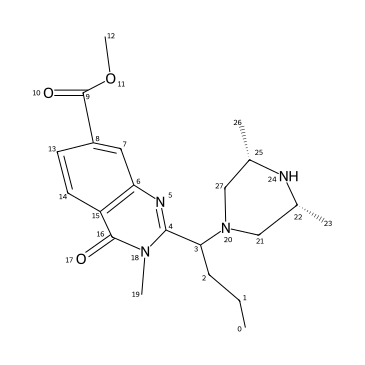 CCCC(c1nc2cc(C(=O)OC)ccc2c(=O)n1C)N1C[C@@H](C)N[C@@H](C)C1